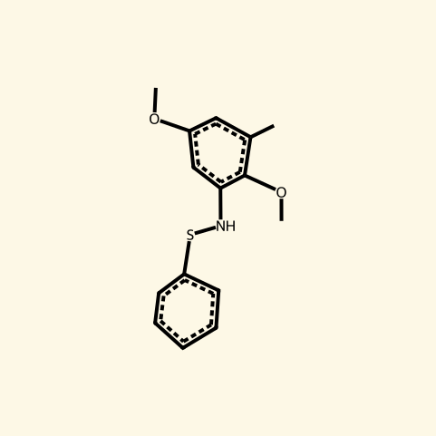 COc1cc(C)c(OC)c(NSc2ccccc2)c1